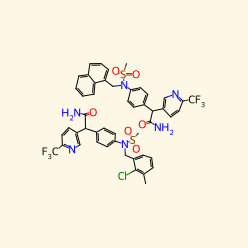 CS(=O)(=O)N(Cc1cccc2ccccc12)c1ccc(C(C(N)=O)c2ccc(C(F)(F)F)nc2)cc1.Cc1cccc(CN(c2ccc(C(C(N)=O)c3ccc(C(F)(F)F)nc3)cc2)S(C)(=O)=O)c1Cl